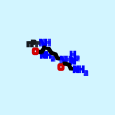 CCCN[C@@H](CCCCNC(=O)[C@@H](N)CN)C(N)=O